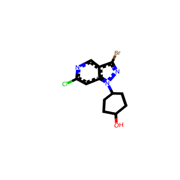 OC1CCC(n2nc(Br)c3cnc(Cl)cc32)CC1